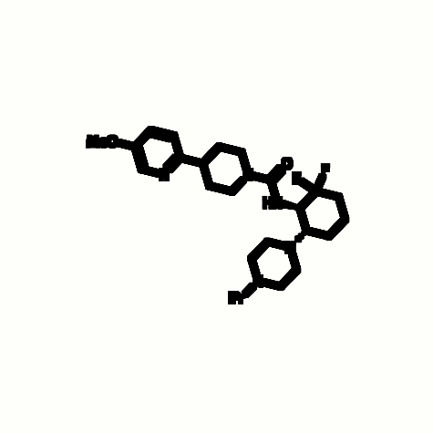 COc1ccc(C2CCN(C(=O)N[C@@H]3[C@@H](N4CCN(C(C)C)CC4)CCCC3(F)F)CC2)nc1